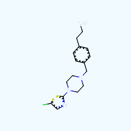 CC(=O)NCCc1ccc(CN2CCN(c3ncc(Cl)s3)CC2)cc1